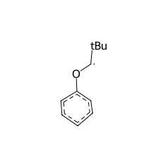 CC(C)(C)[CH]Oc1ccccc1